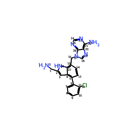 NCc1cc2c(-c3ccccc3Cl)ccc(Cn3cnc4c(N)ncnc43)c2[nH]1